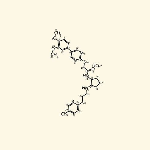 COc1ccc(-c2cnc(SCC(=O)NC3CCCC3NCCCc3ccc(Cl)cc3)nc2)cc1OC.Cl